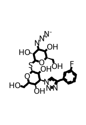 [N-]=[N+]=NC1C(O)[C@@H](CO)OC(S[C@@H]2OC(CO)[C@H](O)[C@H](n3cc(-c4cccc(F)c4)nn3)C2O)[C@@H]1O